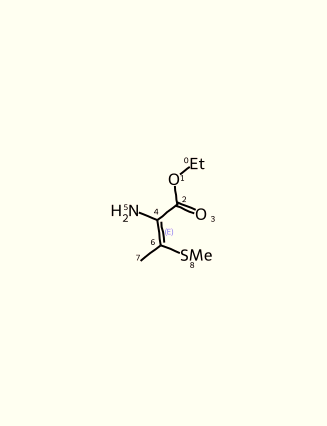 CCOC(=O)/C(N)=C(/C)SC